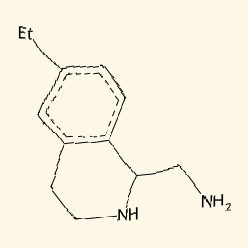 CCc1ccc2c(c1)CCNC2CN